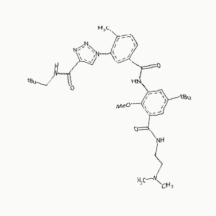 COc1c(NC(=O)c2ccc(C)c(-n3cc(C(=O)NCC(C)(C)C)nn3)c2)cc(C(C)(C)C)cc1C(=O)NCCN(C)C